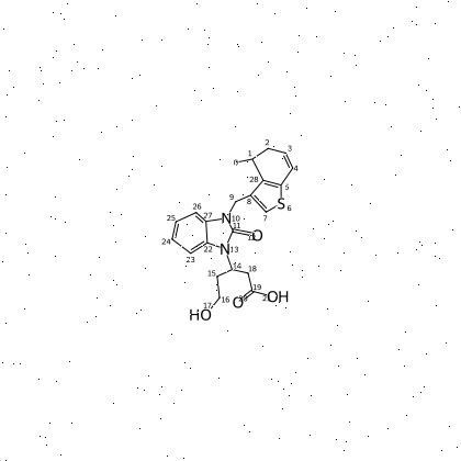 CC1CC=Cc2scc(Cn3c(=O)n(C(CCO)CC(=O)O)c4ccccc43)c21